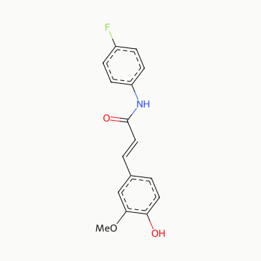 COc1cc(C=CC(=O)Nc2ccc(F)cc2)ccc1O